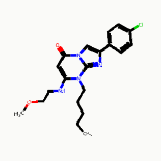 CCCCCn1c(NCCOC)cc(=O)n2cc(-c3ccc(Cl)cc3)nc12